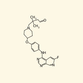 CC(C)(CC=O)CN1CCC(Oc2ccc(Nc3ncnc4cnc(F)cc34)cc2)CC1